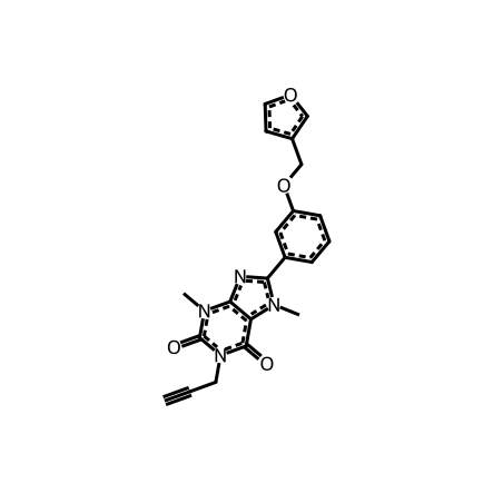 C#CCn1c(=O)c2c(nc(-c3cccc(OCc4ccoc4)c3)n2C)n(C)c1=O